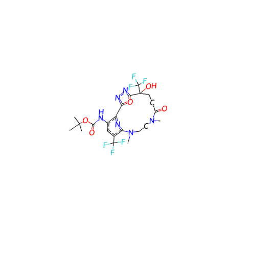 CN1CCN(C)c2nc(c(NC(=O)OC(C)(C)C)cc2C(F)(F)F)-c2nnc(o2)C(O)(C(F)(F)F)CCC1=O